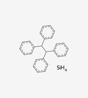 [SiH4].c1ccc(C(c2ccccc2)C(c2ccccc2)c2ccccc2)cc1